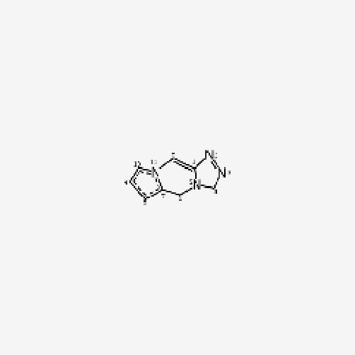 C1=C2N=NCN2Cc2cccn21